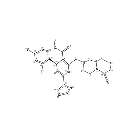 COC(=O)C1=C(CN2CCN3C(=O)COCC3C2)NC(c2nccs2)=N[C@H]1c1ccc(F)cc1Cl